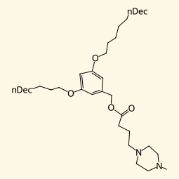 CCCCCCCCCCCCCCCOc1cc(COC(=O)CCCN2CCN(C)CC2)cc(OCCCCCCCCCCCCC)c1